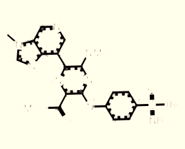 CNc1nc(Nc2ccc(S(=N)(=O)C(C)(C)C)cc2)c(C(=O)OC)nc1-c1cncc2c1ncn2C